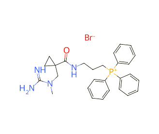 CN(CC1(C(=O)NCCC[P+](c2ccccc2)(c2ccccc2)c2ccccc2)CC1)C(=N)N.[Br-]